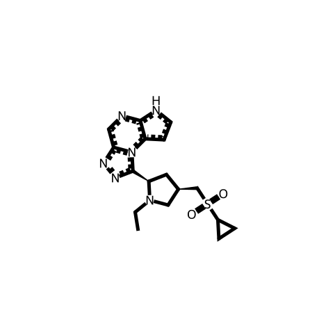 CCN1C[C@H](CS(=O)(=O)C2CC2)C[C@@H]1c1nnc2cnc3[nH]ccc3n12